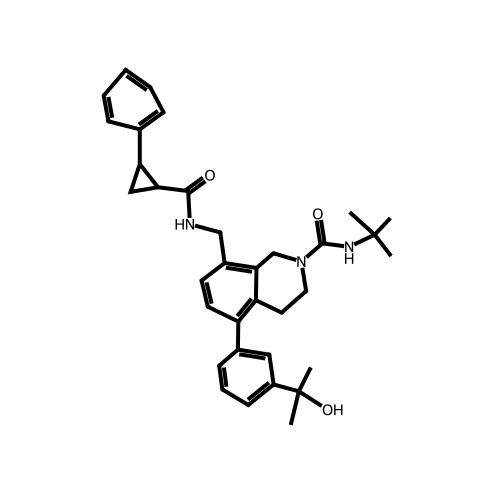 CC(C)(C)NC(=O)N1CCc2c(-c3cccc(C(C)(C)O)c3)ccc(CNC(=O)C3CC3c3ccccc3)c2C1